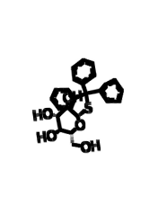 OC[C@H]1O[C@H](SC(c2ccccc2)(c2ccccc2)c2ccccc2)[C@H](O)[C@@H](O)[C@@H]1O